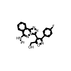 CC(C)Nc1nn2c(-c3c(-c4ccc(F)cc4)noc3CO)nnc2c2ccccc12